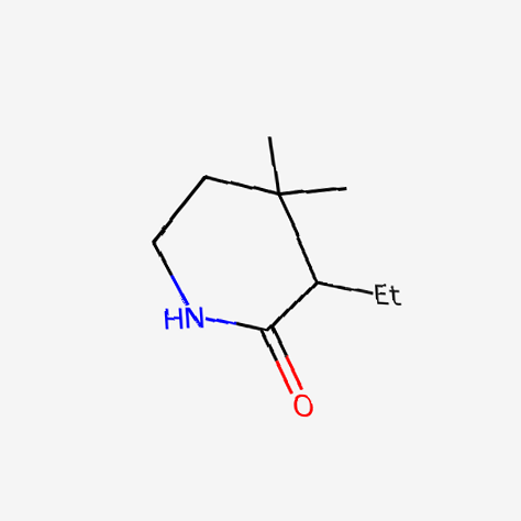 CCC1C(=O)NCCC1(C)C